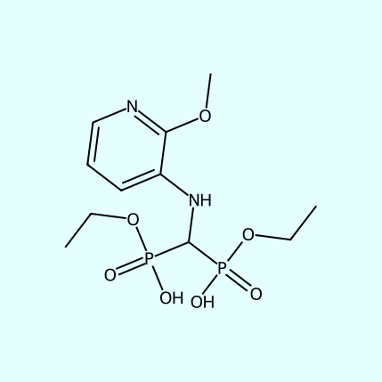 CCOP(=O)(O)C(Nc1cccnc1OC)P(=O)(O)OCC